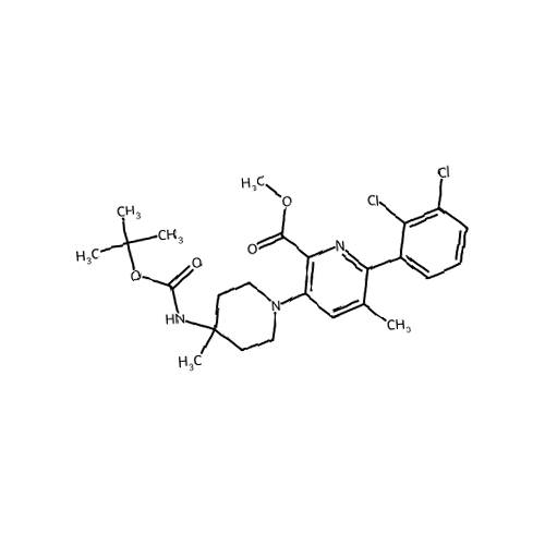 COC(=O)c1nc(-c2cccc(Cl)c2Cl)c(C)cc1N1CCC(C)(NC(=O)OC(C)(C)C)CC1